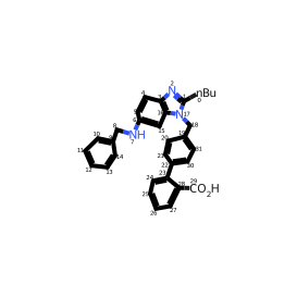 CCCCc1nc2ccc(NCc3ccccc3)cc2n1Cc1ccc(-c2ccccc2C(=O)O)cc1